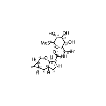 CSC1O[C@H]([C@H](NC(=O)[C@H]2NC[C@@H]3C[C@H]4C[C@H]4CO[C@H]32)C(C)C)C(O)C(O)[C@H]1O